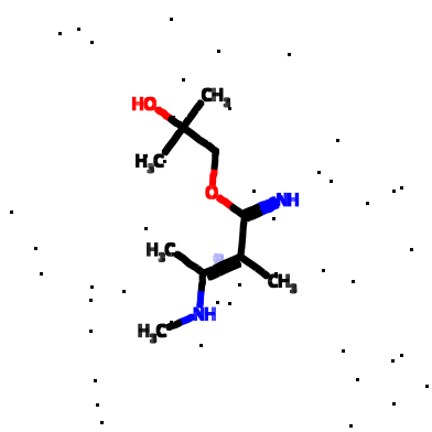 CN/C(C)=C(\C)C(=N)OCC(C)(C)O